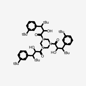 CC(C)(C)c1cccc(C(C(O)C(=O)N2CN(C(=O)C(O)C(c3cccc(C(C)(C)C)c3)C(C)(C)C)CN(C(=O)C(O)C(c3cccc(C(C)(C)C)c3)C(C)(C)C)C2)C(C)(C)C)c1